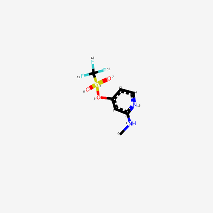 CNc1cc(OS(=O)(=O)C(F)(F)F)ccn1